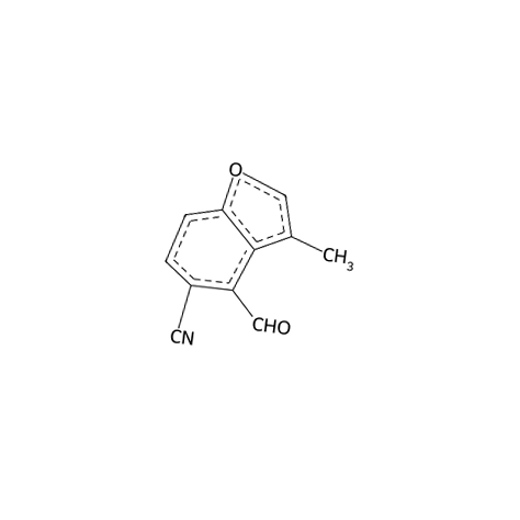 Cc1coc2ccc(C#N)c(C=O)c12